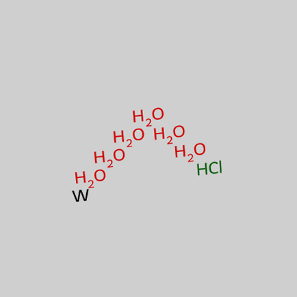 Cl.O.O.O.O.O.O.[W]